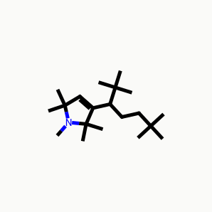 CN1C(C)(C)C=C(C(CCC(C)(C)C)C(C)(C)C)C1(C)C